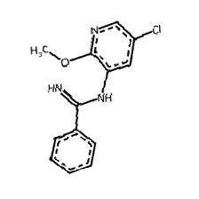 COc1ncc(Cl)cc1NC(=N)c1ccccc1